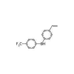 C=Cc1ccc(Bc2ccc(C(F)(F)F)cc2)cc1